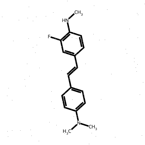 CNc1ccc(/C=C/c2ccc(N(C)C)cc2)cc1F